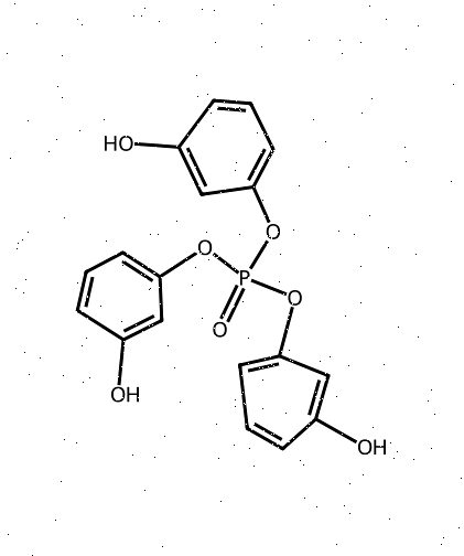 O=P(Oc1cccc(O)c1)(Oc1cccc(O)c1)Oc1cccc(O)c1